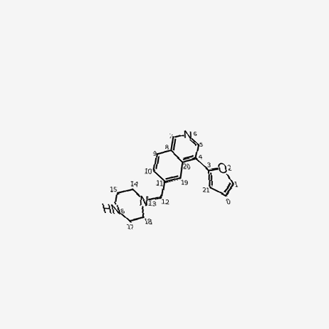 c1coc(-c2cncc3ccc(CN4CCNCC4)cc23)c1